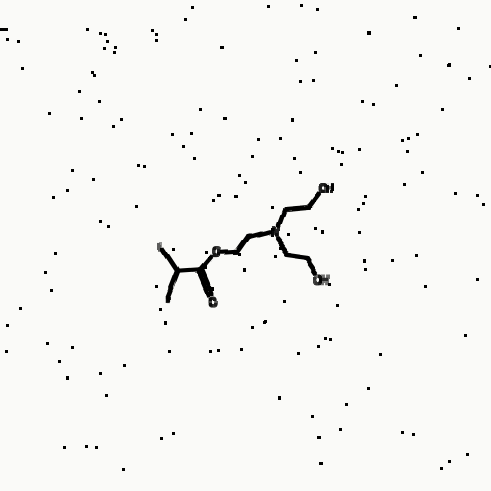 CC(I)C(=O)OCCN(CCO)CCO